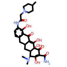 CC1CCN(CC(=O)Nc2ccc3c(c2O)C(=O)C2=C(O)[C@]4(O)C(=O)C(C(N)=O)=C(O)[C@@H](N(C)C)C4CC2C3)CC1